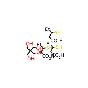 CCC(S)CC(=O)O.CCC(S)CC(=O)O.CCC(S)CC(=O)O.OCC(CO)(CO)CO